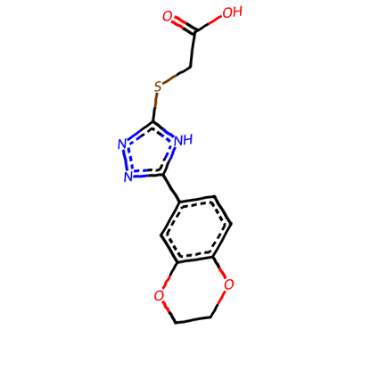 O=C(O)CSc1nnc(-c2ccc3c(c2)OCCO3)[nH]1